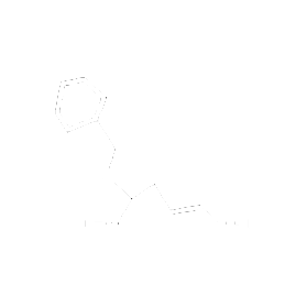 [CH2]CCCCCCC/C=C/CC(CCCCCC)OCc1ccccc1